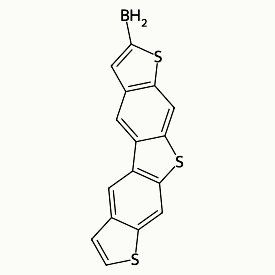 Bc1cc2cc3c(cc2s1)sc1cc2sccc2cc13